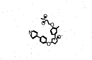 Cc1cc([N+]2([O-])CCC(Oc3ccc(-c4ccncc4)cc3)C2)ccc1OCCS(C)(=O)=O